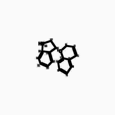 C1=Cc2ccccc2OC1.c1ccc2c(c1)CCN2